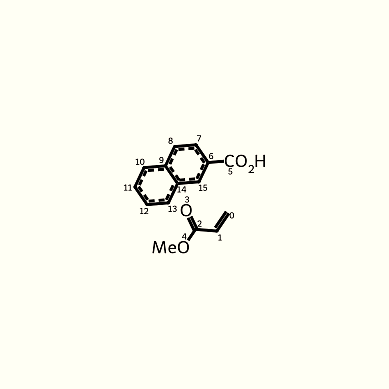 C=CC(=O)OC.O=C(O)c1ccc2ccccc2c1